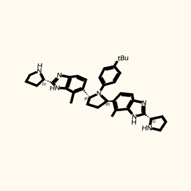 Cc1c([C@H]2CC[C@H](c3ccc4nc([C@@H]5CCCN5)[nH]c4c3C)N2c2ccc(C(C)(C)C)cc2)ccc2nc([C@@H]3CCCN3)[nH]c12